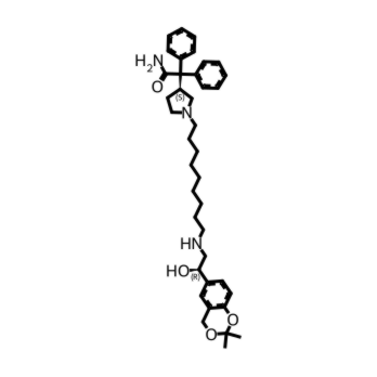 CC1(C)OCc2cc([C@@H](O)CNCCCCCCCCCN3CC[C@@H](C(C(N)=O)(c4ccccc4)c4ccccc4)C3)ccc2O1